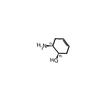 N[C@H]1CC=CC[C@H]1O